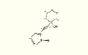 OC1(C#CC2=CC=CCN2Br)CCCCC1